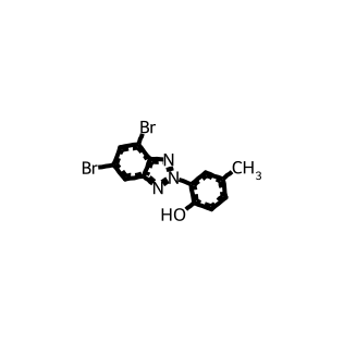 Cc1ccc(O)c(-n2nc3cc(Br)cc(Br)c3n2)c1